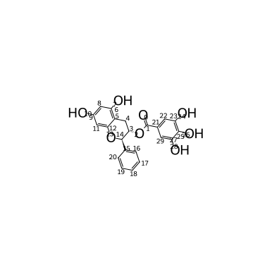 O=C(O[C@H]1Cc2c(O)cc(O)cc2O[C@@H]1c1ccccc1)c1cc(O)c(O)c(O)c1